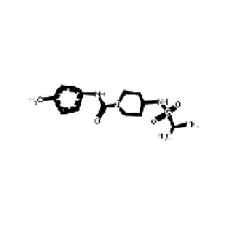 Cc1ccc(NC(=O)N2CCC(NS(=O)(=O)C(C)C)CC2)cc1